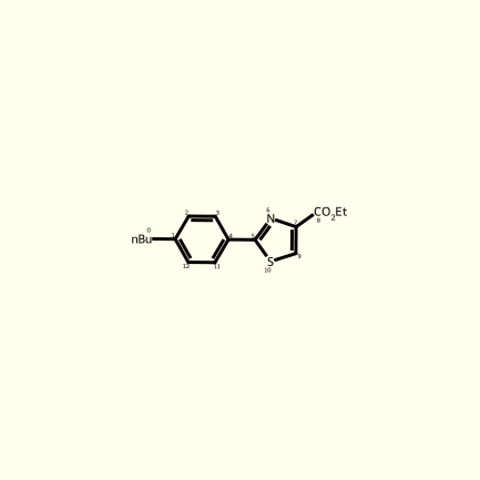 CCCCc1ccc(-c2nc(C(=O)OCC)cs2)cc1